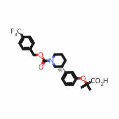 CC(C)(Oc1cccc([C@H]2CCCN(C(=O)OCc3ccc(C(F)(F)F)cc3)C2)c1)C(=O)O